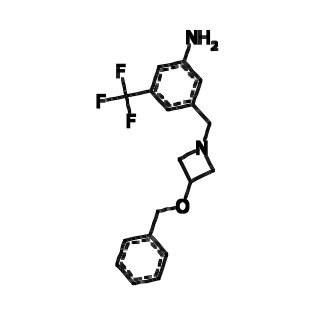 Nc1cc(CN2CC(OCc3ccccc3)C2)cc(C(F)(F)F)c1